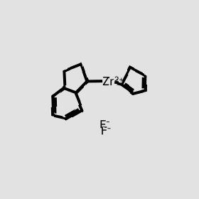 C1=CC[C]([Zr+2][CH]2CCC3C=CC=CC32)=C1.[F-].[F-]